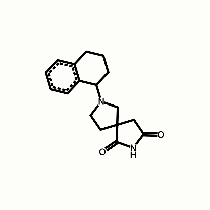 O=C1CC2(CCN(C3CCCc4ccccc43)C2)C(=O)N1